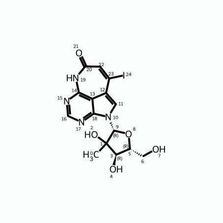 CC1(O)[C@H](O)[C@@H](CO)O[C@H]1n1cc2c3c(ncnc31)NC(=O)C=C2I